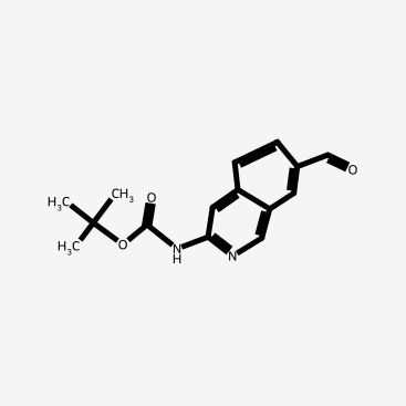 CC(C)(C)OC(=O)Nc1cc2ccc(C=O)cc2cn1